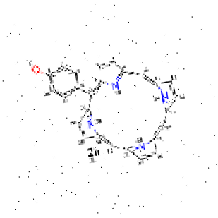 Oc1ccc(C2=C3C=CC(=N3)C=C3C=CC(=N3)C=C3C=CC(=N3)C=C3C=CC2=N3)cc1.[Zn]